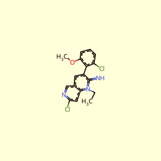 CCn1c(=N)c(-c2c(Cl)cccc2OC)cc2cnc(Cl)cc21